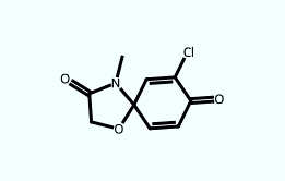 CN1C(=O)COC12C=CC(=O)C(Cl)=C2